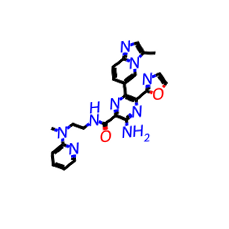 Cc1cnc2ccc(-c3nc(C(=O)NCCN(C)c4ccccn4)c(N)nc3-c3ncco3)cn12